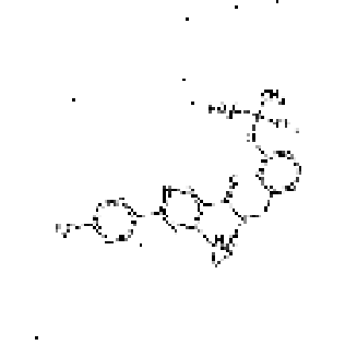 CN(Cc1cccc(OC(C)(C)C(=O)O)c1)C(=O)c1cnc(-c2ccc(C(F)(F)F)cc2)nc1C1CC1